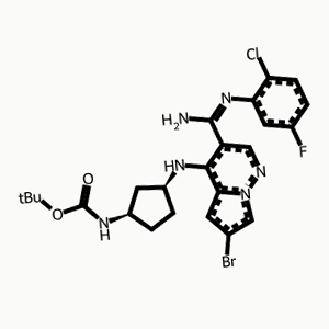 CC(C)(C)OC(=O)N[C@@H]1CC[C@H](Nc2c(C(N)=Nc3cc(F)ccc3Cl)cnn3cc(Br)cc23)C1